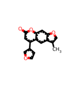 Cc1coc2cc3oc(=O)cc(-c4ccoc4)c3cc12